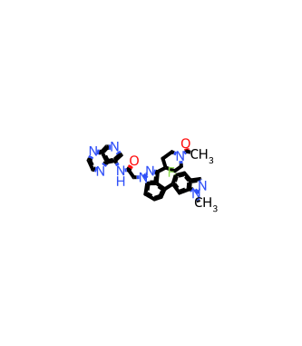 CC(=O)N1CCC(c2nn(CC(=O)Nc3cncc4nccnc34)c3cccc(-c4cc5c(cnn5C)cc4F)c23)CC1